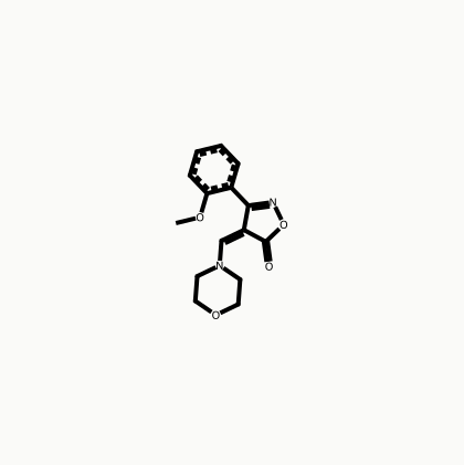 COc1ccccc1C1=NOC(=O)/C1=C\N1CCOCC1